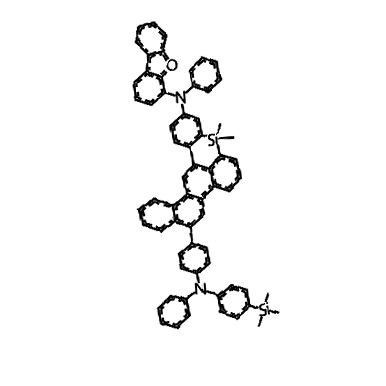 C[Si](C)(C)c1ccc(N(c2ccccc2)c2ccc(-c3cc4c5cccc6c5c(cc4c4ccccc34)-c3ccc(N(c4ccccc4)c4cccc5c4oc4ccccc45)cc3[Si]6(C)C)cc2)cc1